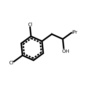 CC(C)C(O)[CH]c1ccc(Cl)cc1Cl